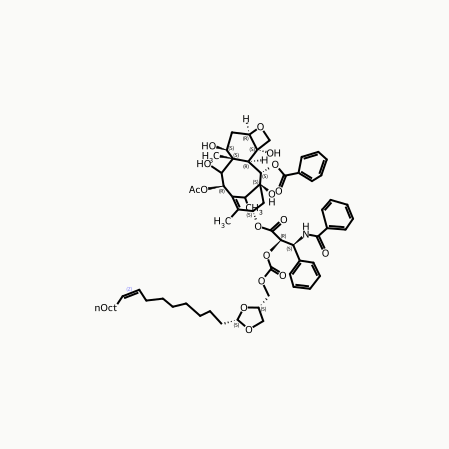 CCCCCCCC/C=C\CCCCCCC[C@H]1OC[C@@H](COC(=O)O[C@@H](C(=O)O[C@H]2C[C@]3(O)C(C)C(=C2C)[C@@H](OC(C)=O)C(O)[C@@]2(C)[C@H]([C@@H]3OC(=O)c3ccccc3)[C@]3(O)CO[C@@H]3C[C@@H]2O)[C@@H](NC(=O)c2ccccc2)c2ccccc2)O1